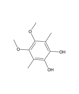 COc1c(C)c(O)c(O)c(C)c1OC